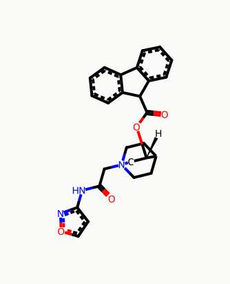 O=C(C[N+]12CCC(CC1)[C@@H](OC(=O)C1c3ccccc3-c3ccccc31)C2)Nc1ccon1